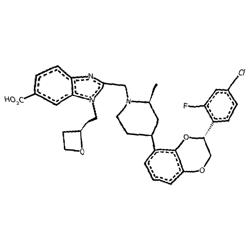 C[C@H]1CC(c2cccc3c2O[C@H](c2ccc(Cl)cc2F)CO3)CCN1Cc1nc2ccc(C(=O)O)cc2n1C[C@@H]1CCO1